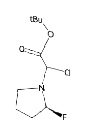 CC(C)(C)OC(=O)C(Cl)N1CCC[C@@H]1F